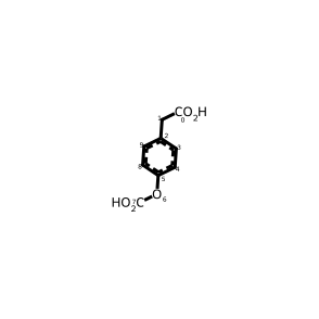 O=C(O)Cc1ccc(OC(=O)O)cc1